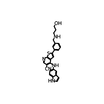 N#Cc1cnc2sc(-c3cccc(CNCCCO)c3)cc2c1Nc1ccc2[nH]ccc2c1